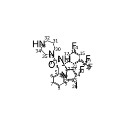 O=C(N[C@@](Cc1ccccc1)(c1cc(F)cc(C(F)(F)F)c1)c1ccc(I)cn1)N1CCCNCC1